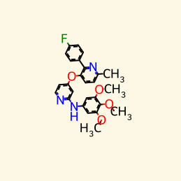 COc1cc(Nc2cc(Oc3ccc(C)nc3-c3ccc(F)cc3)ccn2)cc(OC)c1OC